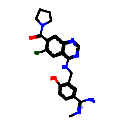 C/N=C(/N)c1ccc(O)c(CNc2ncnc3cc(C(=O)N4CCCC4)c(Cl)cc23)c1